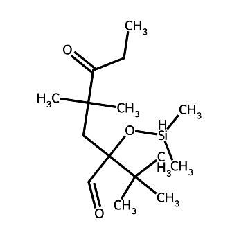 CCC(=O)C(C)(C)CC(C=O)(O[SiH](C)C)C(C)(C)C